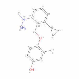 CCc1cc(O)ccc1OCc1c(C2CC2)cccc1N(C)N